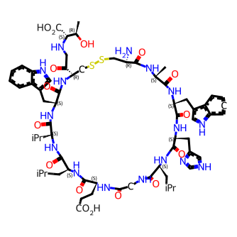 CC(C)C[C@@H]1NC(=O)[C@H](Cc2c[nH]cn2)NC(=O)[C@H](Cc2c[nH]c3ccccc23)NC(=O)[C@H](C)NC(=O)[C@@H](N)CSSC[C@@H](C(=O)CN[C@H](C(=O)O)[C@@H](C)O)NC(=O)[C@H](Cc2c[nH]c3ccccc23)NC(=O)[C@H](C(C)C)NC(=O)[C@H](CC(C)C)NC(=O)[C@H](CCC(=O)O)NC(=O)CNC1=O